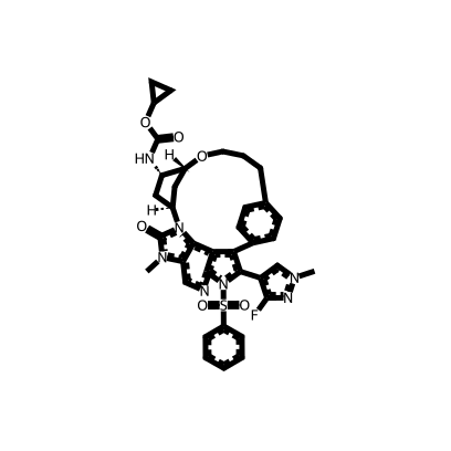 Cn1cc(-c2c3c4c(ncc5c4n(c(=O)n5C)[C@H]4C[C@H](NC(=O)OC5CC5)[C@@H](C4)OCCCc4ccc-3cc4)n2S(=O)(=O)c2ccccc2)c(F)n1